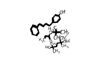 C=CC(=O)OC(C)(C)C.CC(C)(O)CCC(C)(C)O.Oc1ccc(C=CC=Cc2ccccc2)cc1